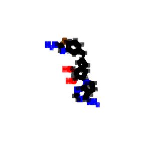 Nc1nc2cc(C[C@H]3C[C@@]4(C[C@@H](n5ccc6c(N)ncnc65)[C@H](O)[C@@H]4O)C3)ccc2s1